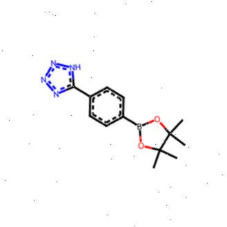 CC1(C)OB(c2ccc(-c3nnn[nH]3)cc2)OC1(C)C